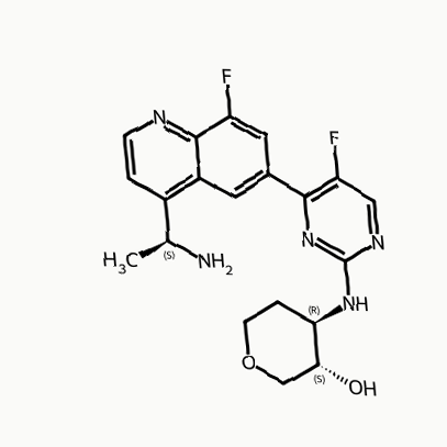 C[C@H](N)c1ccnc2c(F)cc(-c3nc(N[C@@H]4CCOC[C@H]4O)ncc3F)cc12